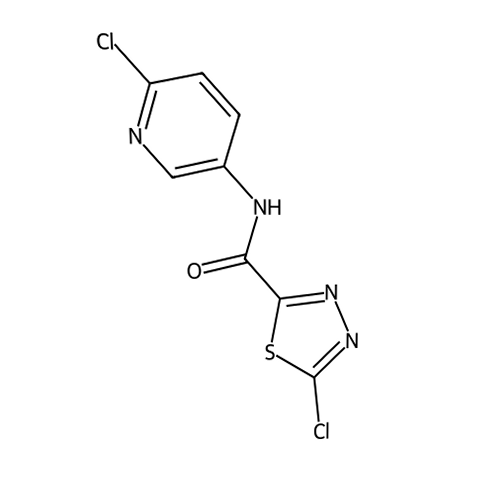 O=C(Nc1ccc(Cl)nc1)c1nnc(Cl)s1